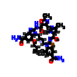 CCc1nc(C)oc1C(=O)Nc1nc2cc(C(N)=O)cc(OCCCC(=O)O)c2n1C/C=C/Cn1/c(=N/C(=O)c2cc(C)nn2CC)sc2cc(C(N)=O)cc(OC)c21